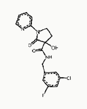 O=C(NCc1cc(F)cc(Cl)c1)C1(O)CCN(c2ccccn2)C1=O